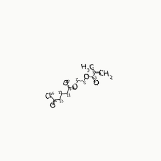 C=C(C)C(=O)OCCOC(=O)CCCC(=O)Cl